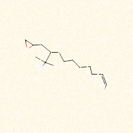 CCCCCCCC/C=C\CCCCCCC(CC1CO1)C(C)(C)N.Cl